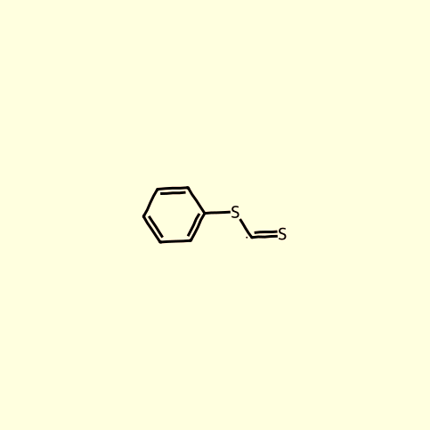 S=[C]Sc1ccccc1